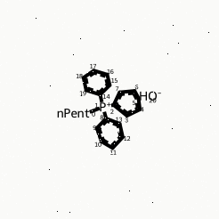 CCCCC[P+](c1ccccc1)(c1ccccc1)c1ccccc1.[OH-]